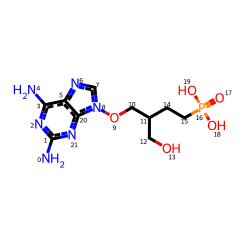 Nc1nc(N)c2ncn(OCC(CO)CCP(=O)(O)O)c2n1